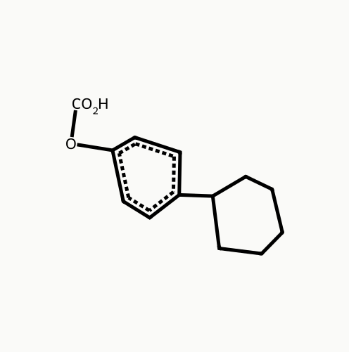 O=C(O)Oc1ccc(C2CCCCC2)cc1